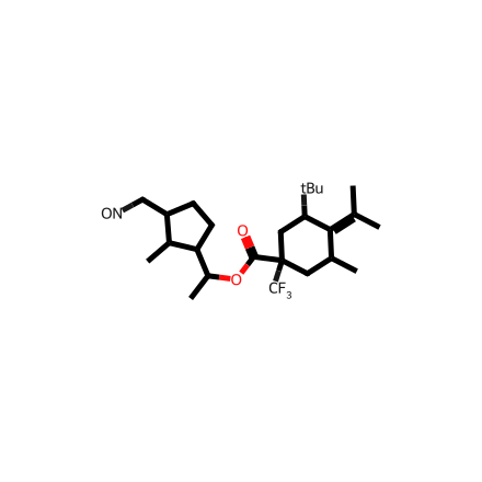 CC(C)=C1C(C)CC(C(=O)OC(C)C2CCC(CN=O)C2C)(C(F)(F)F)CC1C(C)(C)C